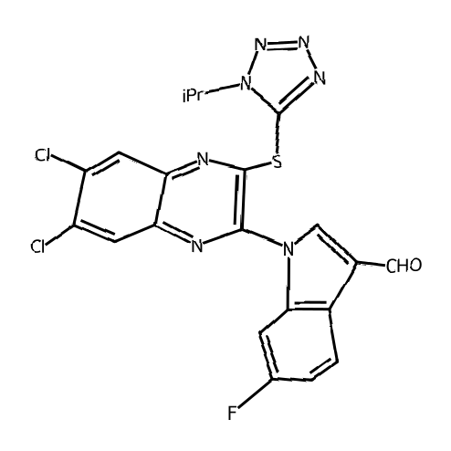 CC(C)n1nnnc1Sc1nc2cc(Cl)c(Cl)cc2nc1-n1cc(C=O)c2ccc(F)cc21